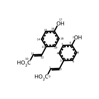 O=C(O)/C=C/c1ccc(O)cc1.O=C(O)/C=C/c1ccc(O)cc1